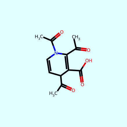 CC(=O)C1=C(C(=O)O)C(C(C)=O)C=CN1C(C)=O